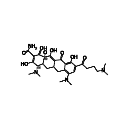 CN(C)CCCC(=O)c1cc(N(C)C)c2c(c1O)C(=O)C1=C(O)[C@]3(O)C(=O)C(C(N)=O)=C(O)[C@@H](N(C)C)C3CC1C2